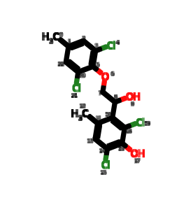 Cc1cc(Cl)c(OCC(O)c2c(C)cc(Cl)c(O)c2Cl)c(Cl)c1